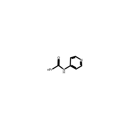 CCCC(=O)Nc1ccncc1